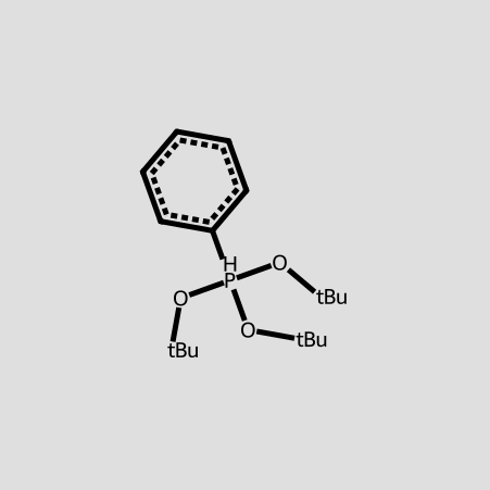 CC(C)(C)O[PH](OC(C)(C)C)(OC(C)(C)C)c1ccccc1